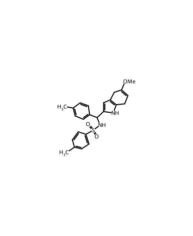 COC1=CCc2[nH]c(C(NS(=O)(=O)c3ccc(C)cc3)c3ccc(C)cc3)cc2C1